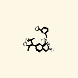 Cc1noc(C)c1-c1ccc2cc(Cl)nc(NCc3cccc(Cl)c3)c2c1